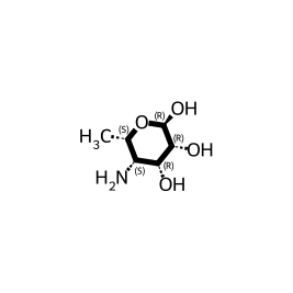 C[C@@H]1O[C@@H](O)[C@H](O)[C@H](O)[C@@H]1N